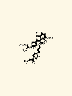 C=CC(=O)N1CCN(CCCn2c(=O)c(-c3c(Cl)c(OC)cc(OC)c3Cl)cc3cnc(N[C@@H](C)COC)cc32)CC1